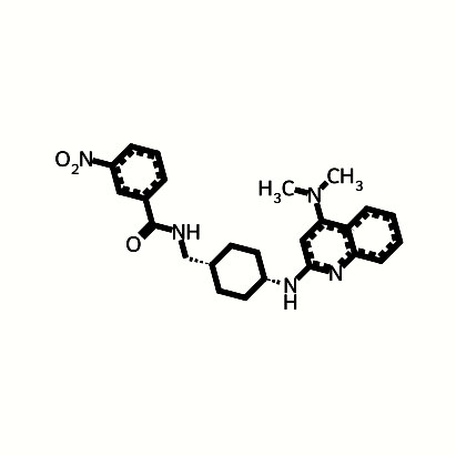 CN(C)c1cc(N[C@H]2CC[C@@H](CNC(=O)c3cccc([N+](=O)[O-])c3)CC2)nc2ccccc12